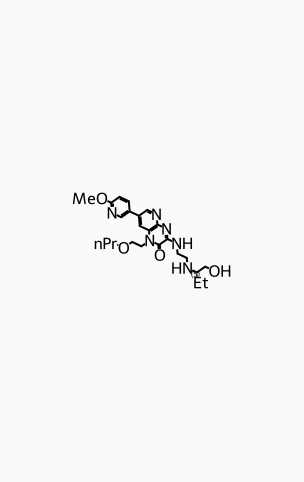 CCCOCCn1c(=O)c(NCCN[C@@H](CC)CO)nc2ncc(-c3ccc(OC)nc3)cc21